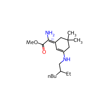 CCCCC(CC)CNC1=C/C(=C(/N)C(=O)OC)CC(C)(C)C1